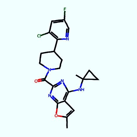 Cc1cc2c(NC3(C)CC3)nc(C(=O)N3CCC(c4ncc(F)cc4Cl)CC3)nc2o1